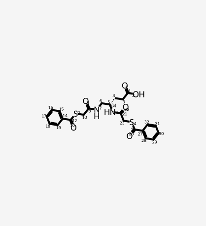 O=C(O)CC[C@@H](CNC(=O)CSC(=O)c1ccccc1)NC(=O)CSC(=O)c1ccccc1